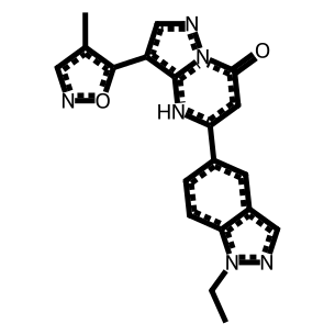 CCn1ncc2cc(-c3cc(=O)n4ncc(-c5oncc5C)c4[nH]3)ccc21